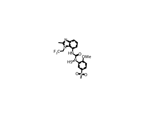 COc1ccc(S(C)(=O)=O)cc1N(S)C(=O)Nc1cccc2nc(C)n(CC(F)(F)F)c12